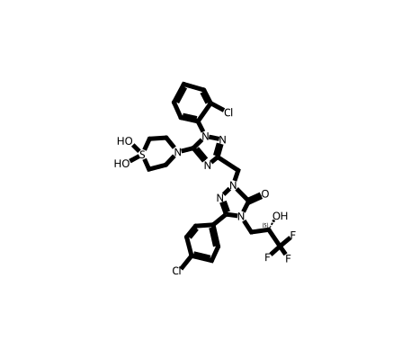 O=c1n(Cc2nc(N3CCS(O)(O)CC3)n(-c3ccccc3Cl)n2)nc(-c2ccc(Cl)cc2)n1C[C@H](O)C(F)(F)F